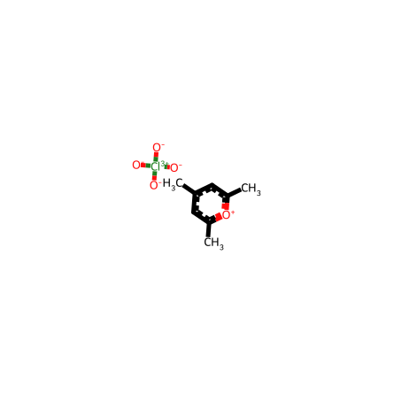 Cc1cc(C)[o+]c(C)c1.[O-][Cl+3]([O-])([O-])[O-]